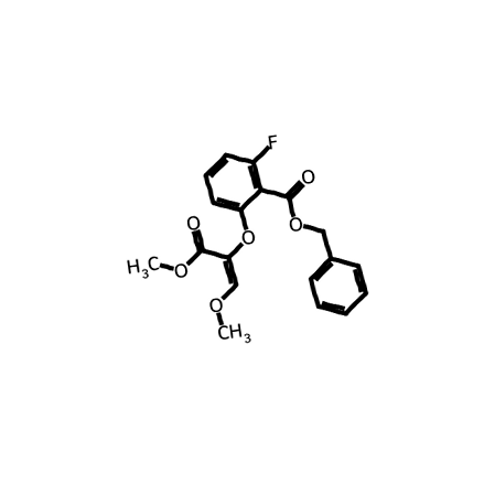 COC=C(Oc1cccc(F)c1C(=O)OCc1ccccc1)C(=O)OC